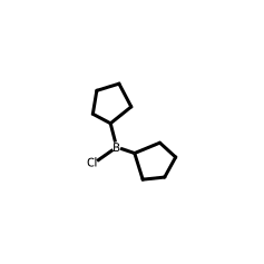 ClB(C1CCCC1)C1CCCC1